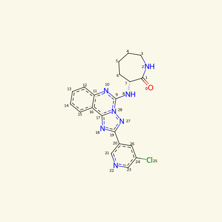 O=C1NCCCC[C@H]1Nc1nc2ccccc2c2nc(-c3cncc(Cl)c3)nn12